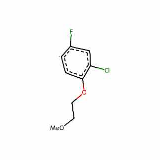 COCCOc1c[c]c(F)cc1Cl